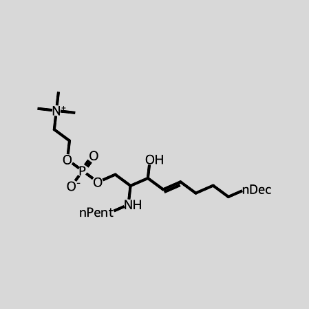 CCCCCCCCCCCCCC=CC(O)C(COP(=O)([O-])OCC[N+](C)(C)C)NCCCCC